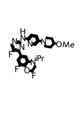 COC1CCN(c2ccc(Nc3ncc(F)c(-c4cc(F)c5c(c4)N(C(C)C)CC(F)O5)n3)nc2)CC1